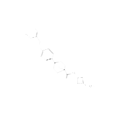 CO[C@H]1C[C@H](NC(=O)C23CCC(c4ccc(OC/C(=C/F)CN)cc4)(CC2)CC3)C1